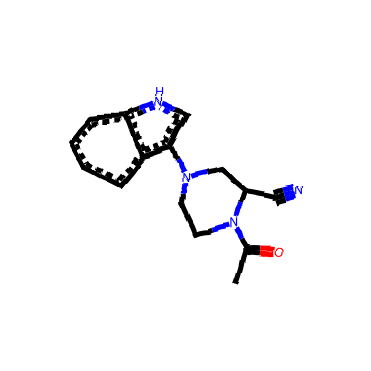 CC(=O)N1CCN(c2c[nH]c3ccccc23)CC1C#N